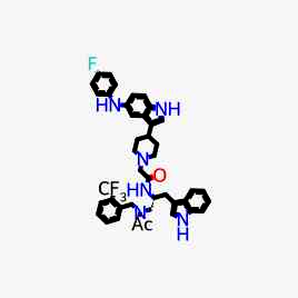 CC(=O)N(Cc1ccccc1C(F)(F)F)C[C@@H](Cc1c[nH]c2ccccc12)NC(=O)CN1CCC(c2c[nH]c3ccc(Nc4ccc(F)cc4)cc23)CC1